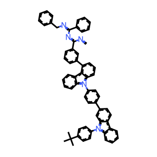 C=N/C(=N\C(=N/Cc1ccccc1)c1ccccc1)c1cccc(-c2cccc3c2c2ccccc2n3-c2ccc(-c3ccc4c5ccccc5n(-c5ccc(C(C)(C)C)cc5)c4c3)cc2)c1